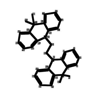 CC1(C)c2ccccc2N(CCN2c3ccccc3C(C)(C)c3ccccc32)c2ccccc21